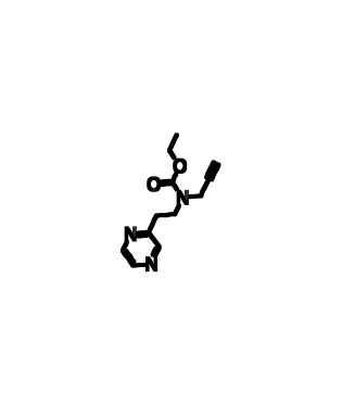 C#CCN(CCc1cnccn1)C(=O)OCC